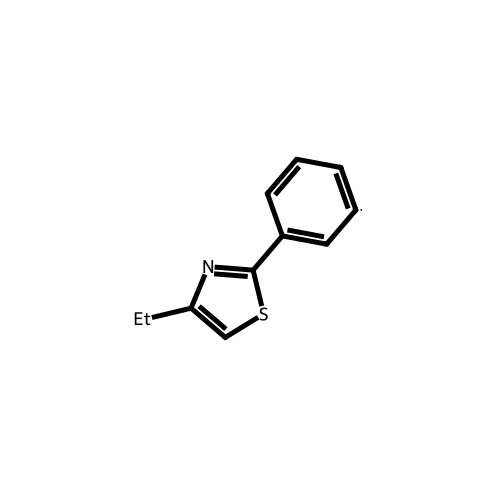 CCc1csc(-c2c[c]ccc2)n1